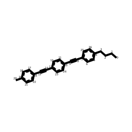 CCCCc1ccc(C#Cc2ccc(C#Cc3ccc(C)cc3)cc2)cc1